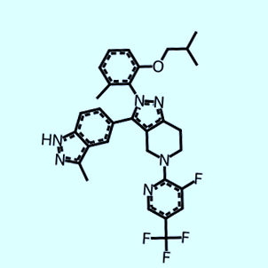 Cc1cccc(OCC(C)C)c1-n1nc2c(c1-c1ccc3[nH]nc(C)c3c1)CN(c1ncc(C(F)(F)F)cc1F)CC2